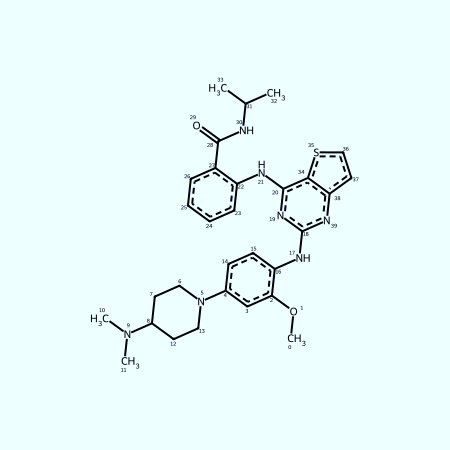 COc1cc(N2CCC(N(C)C)CC2)ccc1Nc1nc(Nc2ccccc2C(=O)NC(C)C)c2sccc2n1